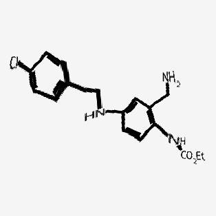 CCOC(=O)Nc1ccc(NCc2ccc(Cl)cc2)cc1CN